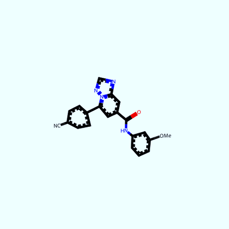 COc1cccc(NC(=O)c2cc(-c3ccc(C#N)cc3)n3ncnc3c2)c1